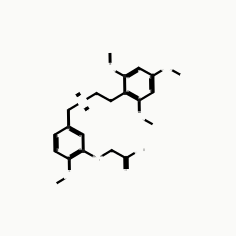 COc1cc(OC)c(CCS(=O)(=O)Cc2ccc(OC)c(NCC(=O)O)c2)c(OC)c1